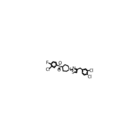 O=S(=O)(c1ccc(F)c(Cl)c1)C1CCN(c2nc(Cc3ccc(Cl)c(Cl)c3)cs2)CC1